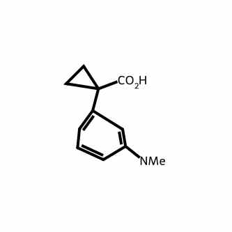 CNc1cccc(C2(C(=O)O)CC2)c1